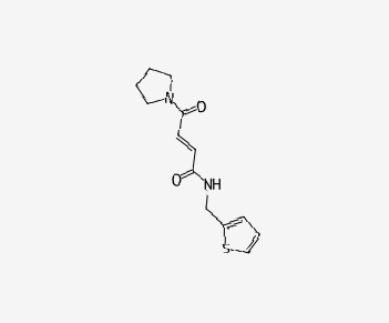 O=C(C=CC(=O)N1CCCC1)NCc1cccs1